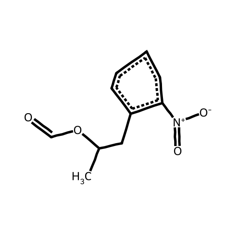 CC(Cc1ccccc1[N+](=O)[O-])OC=O